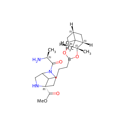 COC(=O)[C@]12CCN(C(=O)[C@H](C)N)C(CN1)C2CCCB1O[C@@H]2C[C@@H]3C[C@@H](C3(C)C)[C@]2(C)O1